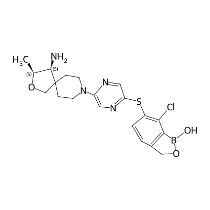 C[C@@H]1OCC2(CCN(c3cnc(Sc4ccc5c(c4Cl)B(O)OC5)cn3)CC2)[C@@H]1N